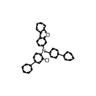 Clc1cc(-c2ccccc2)ccc1N(c1ccc(-c2ccccc2)cc1)c1ccc2c(c1)oc1ccccc12